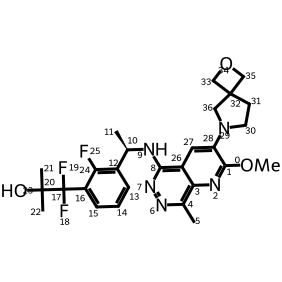 COc1nc2c(C)nnc(N[C@H](C)c3cccc(C(F)(F)C(C)(C)O)c3F)c2cc1N1CCC2(COC2)C1